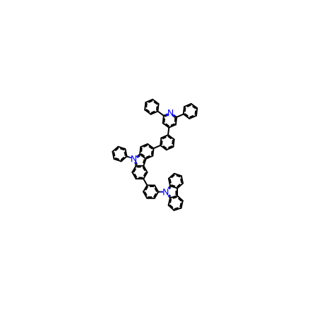 c1ccc(-c2cc(-c3cccc(-c4ccc5c(c4)c4cc(-c6cccc(-n7c8ccccc8c8ccccc87)c6)ccc4n5-c4ccccc4)c3)cc(-c3ccccc3)n2)cc1